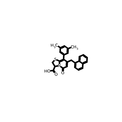 Cc1cc(C)cc(-c2c(Cc3cccc4ccccc34)cc(=O)n3c2SCC3C(=O)O)c1